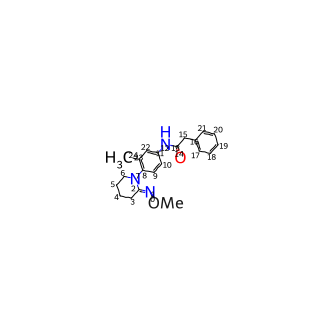 CON=C1CCCCN1c1ccc(NC(=O)Cc2ccccc2)cc1C